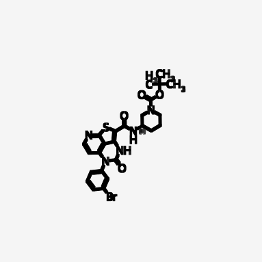 CC(C)(C)OC(=O)N1CCC[C@@H](NC(=O)c2sc3nccc4c3c2NC(=O)N4c2cccc(Br)c2)C1